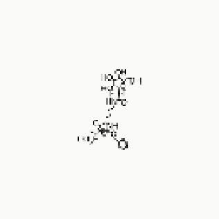 C[C@H](NC(=O)[C@H](CCCCNC(=O)C(F)(F)[C@@H]1O[C@H](CO)[C@H](O)[C@H](O)[C@H]1O)NC(=O)OCc1ccccc1)C(=O)O